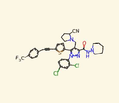 N#CC1CCCN1Cc1c(C(=O)NN2CCCCC2)nn(-c2ccc(Cl)cc2Cl)c1-c1ccc(C#Cc2ccc(C(F)(F)F)cc2)s1